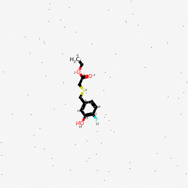 CCOC(=O)CSCc1ccc(F)c(O)c1